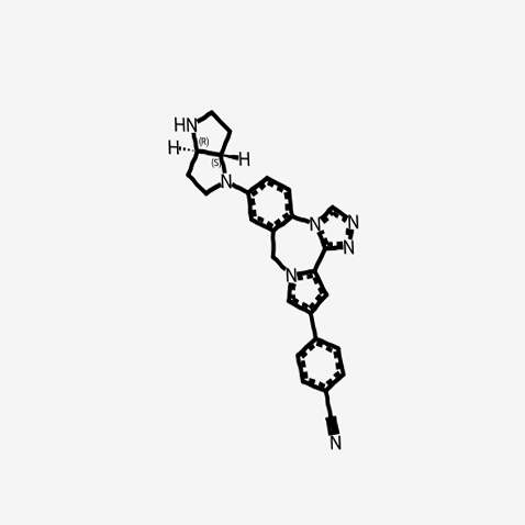 N#Cc1ccc(-c2cc3n(c2)Cc2cc(N4CC[C@H]5NCC[C@@H]54)ccc2-n2cnnc2-3)cc1